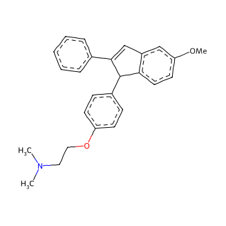 COc1ccc2c(c1)C=C(c1ccccc1)C2c1ccc(OCCN(C)C)cc1